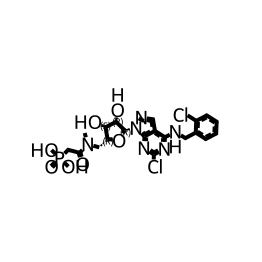 CN(C[C@H]1O[C@@H](n2ncc3c(NCc4ccccc4Cl)nc(Cl)nc32)[C@H](O)[C@@H]1O)C(=O)CP(=O)(O)O